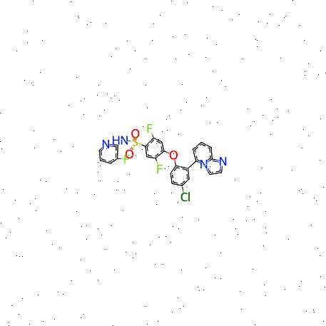 O=S(=O)(Nc1ncccc1F)c1cc(F)c(Oc2ccc(Cl)cc2-c2cccc3nccn23)cc1F